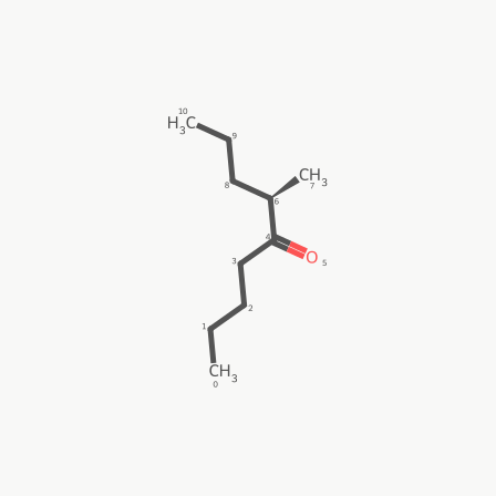 CCCCC(=O)[C@H](C)CCC